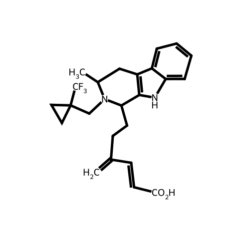 C=C(/C=C/C(=O)O)CCC1c2[nH]c3ccccc3c2CC(C)N1CC1(C(F)(F)F)CC1